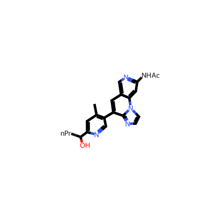 CCCC(O)c1cc(C)c(-c2cc3cnc(NC(C)=O)cc3n3ccnc23)cn1